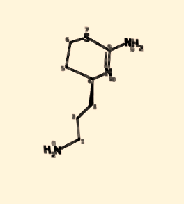 NCCC[C@H]1CCSC(N)=N1